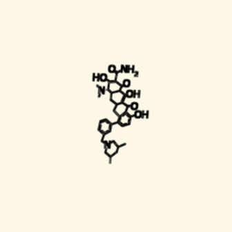 CC1CC(C)CN(Cc2cccc(-c3ccc(O)c4c3CC3CC5C(C(=O)C(C(N)=O)=C(O)[C@H]5N(C)C)C(O)=C3C4=O)c2)C1